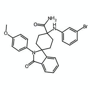 COc1ccc(N2C(=O)c3ccccc3C23CCC(Nc2cccc(Br)c2)(C(N)=O)CC3)cc1